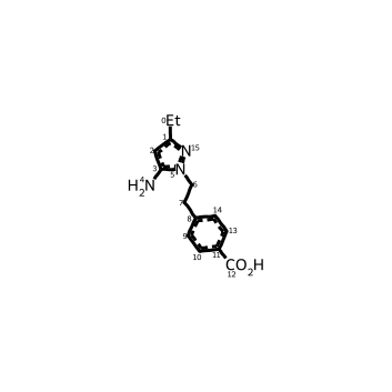 CCc1cc(N)n(CCc2ccc(C(=O)O)cc2)n1